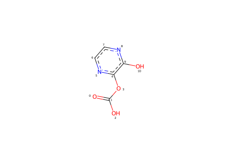 O=C(O)Oc1nccnc1O